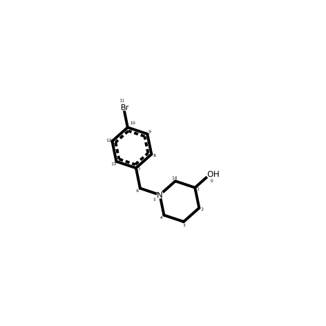 OC1CCCN(Cc2ccc(Br)cc2)C1